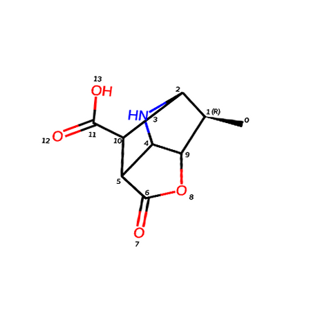 C[C@@H]1C2NC3C(C(=O)OC31)C2C(=O)O